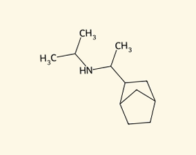 CC(C)NC(C)C1CC2CCC1C2